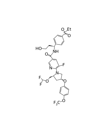 CCS(=O)(=O)c1ccc([C@H](CCO)NC(=O)c2cnc(N3C[C@@H](Oc4ccc(OC(F)(F)F)cc4)C[C@H]3COC(F)F)c(F)c2)cc1